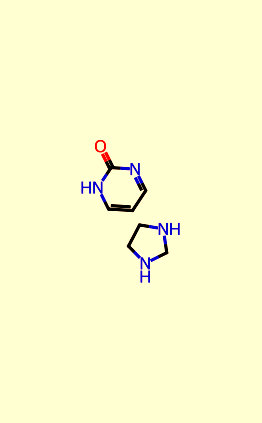 C1CNCN1.O=c1nccc[nH]1